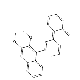 C=c1cccc/c1=C(/C=C\C)\C=C\c1c(OC)c(OC)cc2ccccc12